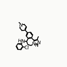 Cc1nnn2c1-c1ccc(C3=CCN(C)CC3)cc1C(Nc1ccccc1Cl)CC2